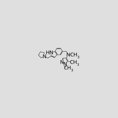 Cc1c(N(C)Cc2ccc3[nH]c(CN4CCCC4)cc3c2)cnn1C